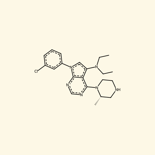 CCN(CC)c1cn(-c2cccc(Cl)c2)c2ncnc(N3CCNC[C@@H]3C)c12